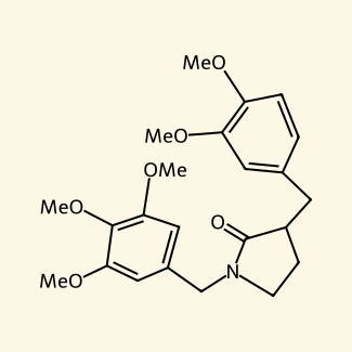 COc1ccc(CC2CCN(Cc3cc(OC)c(OC)c(OC)c3)C2=O)cc1OC